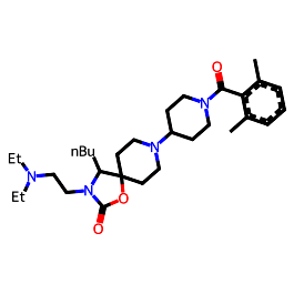 CCCCC1N(CCN(CC)CC)C(=O)OC12CCN(C1CCN(C(=O)c3c(C)cccc3C)CC1)CC2